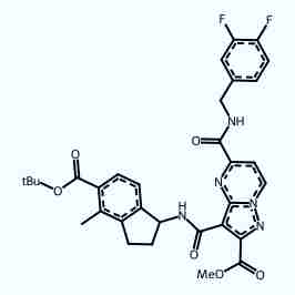 COC(=O)c1nn2ccc(C(=O)NCc3ccc(F)c(F)c3)nc2c1C(=O)NC1CCc2c1ccc(C(=O)OC(C)(C)C)c2C